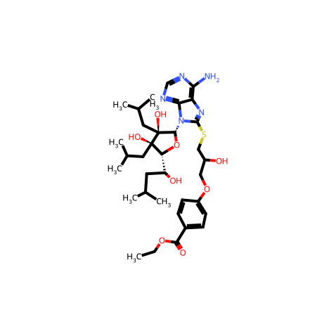 CCOC(=O)c1ccc(OCC(O)CSc2nc3c(N)ncnc3n2[C@@H]2O[C@H](C(O)CC(C)C)[C@](O)(CC(C)C)[C@]2(O)CC(C)C)cc1